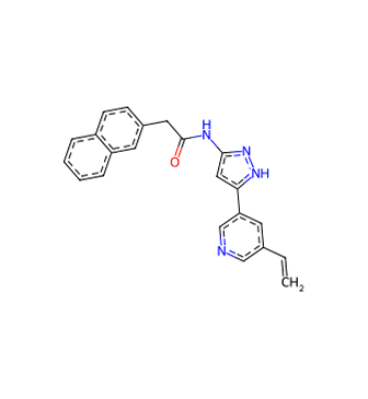 C=Cc1cncc(-c2cc(NC(=O)Cc3ccc4ccccc4c3)n[nH]2)c1